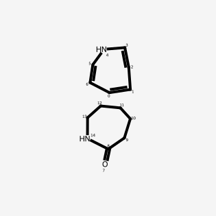 C1=CC=CNC=C1.O=C1CCCCCN1